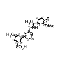 COc1cc([C@@H](C)NCC2CN(c3cc(C)cc(C(=O)O)c3)CCO2)ccc1F